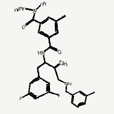 CCCN(CCC)C(=O)c1cc(C)cc(C(=O)NC(Cc2cc(F)cc(F)c2)C(O)CNCc2cccc(C)c2)c1